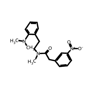 CN(CCc1ccccc1N(C)C)C(=O)Cc1cccc([N+](=O)[O-])c1